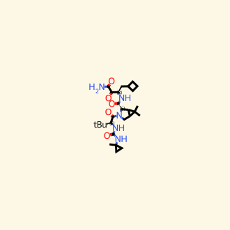 CC1(NC(=O)N[C@H](C(=O)N2CC3C([C@H]2C(=O)N[C@H](CC2CCC2)C(=O)C(N)=O)C3(C)C)C(C)(C)C)CC1